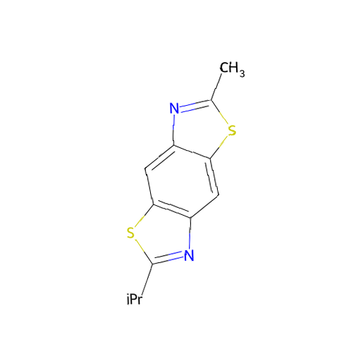 Cc1nc2cc3sc(C(C)C)nc3cc2s1